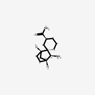 NC(=O)[C@H]1CCC[C@@]2(C1)[C@H]1CC[C@H](C1)[C@@H]2N